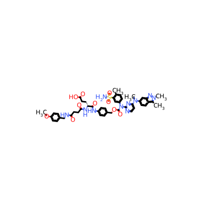 COc1ccc(CNC(=O)CCC(=O)N[C@H](CCC(=O)O)C(=O)Nc2ccc(COC(=O)N(c3ccc(C)c(S(N)(=O)=O)c3)c3nccc(N(C)c4ccc5c(C)n(C)nc5c4)n3)cc2)cc1